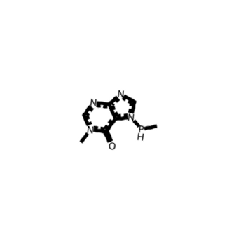 CPn1cnc2ncn(C)c(=O)c21